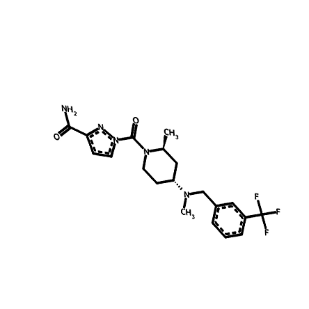 C[C@H]1C[C@H](N(C)Cc2cccc(C(F)(F)F)c2)CCN1C(=O)n1ccc(C(N)=O)n1